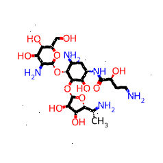 C[C@@H](N)[C@H]1O[C@@H](OC2C(O)[C@H](NC(=O)[C@@H](O)CCN)CC(N)[C@H]2O[C@H]2OC(CO)[C@@H](O)C(O)C2N)C(O)C1O